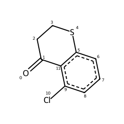 O=C1CCSc2cccc(Cl)c21